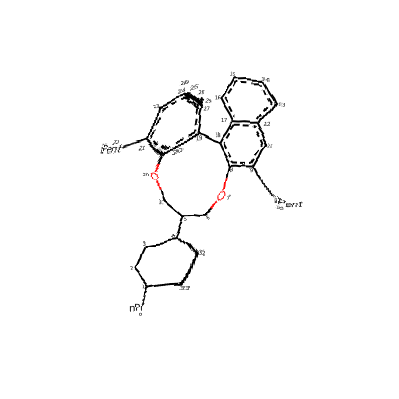 CCCC1CCC(C2COc3c(C(C)CCC)cc4ccccc4c3-c3c(c(C(C)CCC)cc4ccccc34)OC2)CC1